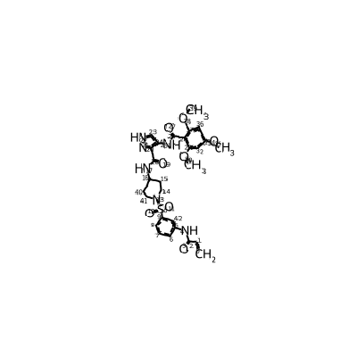 C=CC(=O)Nc1cccc(S(=O)(=O)N2CCC(NC(=O)c3n[nH]cc3NC(=O)c3c(OC)cc(OC)cc3OC)CC2)c1